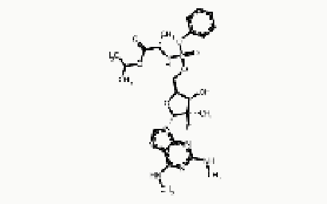 CNc1nc(NC)c2ncn([C@@H]3OC(COP(=O)(N[C@@H](C)C(=O)OC(C)C)Oc4ccccc4)[C@@H](O)[C@@]3(C)F)c2n1